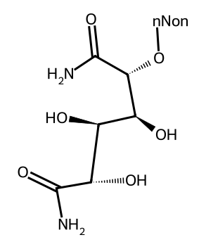 CCCCCCCCCO[C@@H](C(N)=O)[C@@H](O)[C@H](O)[C@H](O)C(N)=O